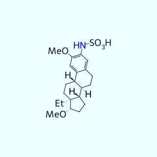 CC[C@]12CC[C@@H]3c4cc(OC)c(NS(=O)(=O)O)cc4CC[C@H]3[C@@H]1CC[C@@H]2OC